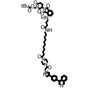 CC(C)(C)C(=O)OCN1C(=O)CCC(N2C(=O)c3cccc(NCCCC(=O)NCCCCCCCCCCC(=O)N4CCN(C(=O)Cn5cc(-c6ccc(-c7cncc8ccccc78)cc6)cn5)CC4)c3C2=O)C1=O